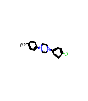 CCc1ccc(N2CCN(c3ccc(Cl)cc3)CC2)cc1